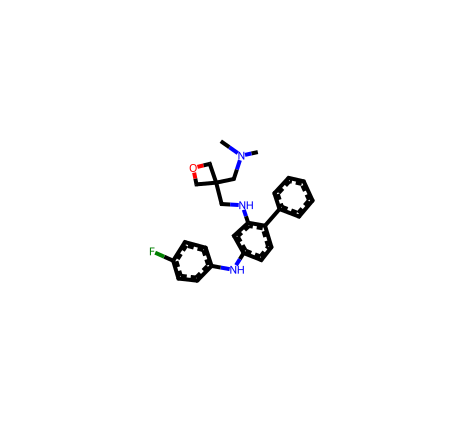 CN(C)CC1(CNc2cc(Nc3ccc(F)cc3)ccc2-c2ccccc2)COC1